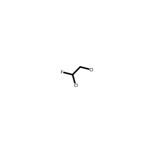 F[C](Cl)CCl